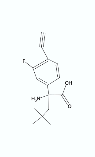 C#Cc1ccc(C(N)(CC(C)(C)C)C(=O)O)cc1F